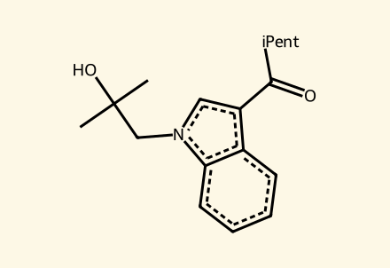 CCCC(C)C(=O)c1cn(CC(C)(C)O)c2ccccc12